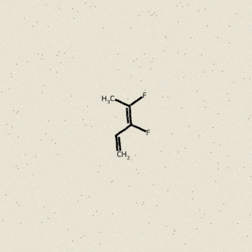 C=C/C(F)=C(\C)F